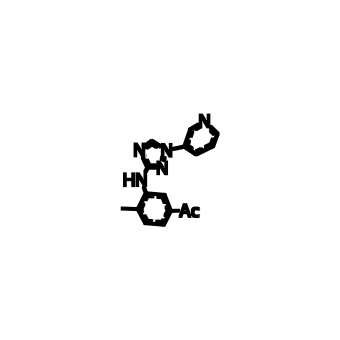 CC(=O)c1ccc(C)c(Nc2ncn(-c3cccnc3)n2)c1